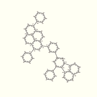 c1ccc(-c2nc(-c3cccc(-c4cc(-c5ccccc5)c5ccc6ccc(-c7ccccc7)c7ccc4c5c67)c3)nc3c2-c2cccc4cccc-3c24)cc1